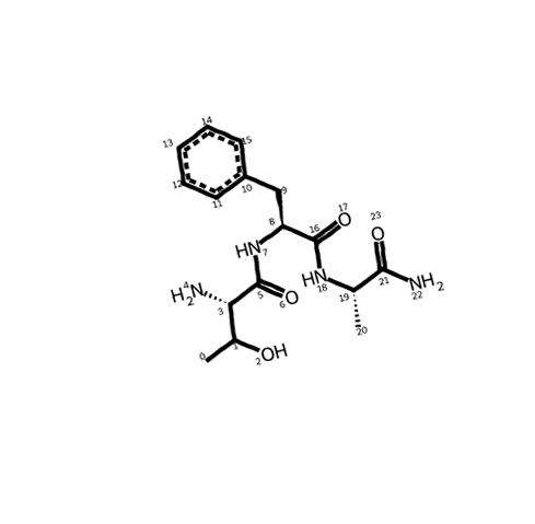 CC(O)[C@H](N)C(=O)N[C@@H](Cc1ccccc1)C(=O)N[C@@H](C)C(N)=O